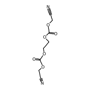 N#CCOC(=O)OCCOC(=O)OCC#N